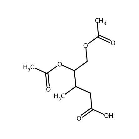 CC(=O)OCC(OC(C)=O)C(C)CC(=O)O